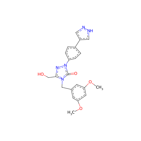 COc1cc(Cn2c(CO)nn(-c3ccc(-c4cn[nH]c4)cc3)c2=O)cc(OC)c1